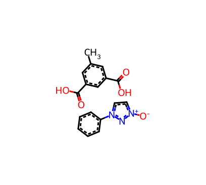 Cc1cc(C(=O)O)cc(C(=O)O)c1.[O-][n+]1ccn(-c2ccccc2)n1